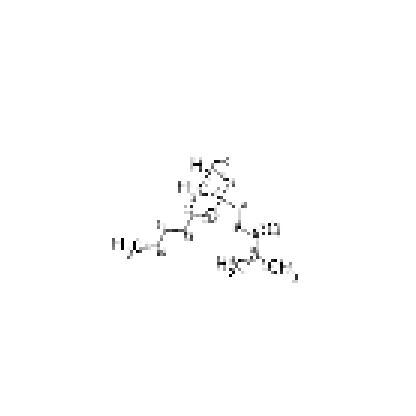 C=CC(C)(CCC(Cl)C(=C)C)OCCCCC